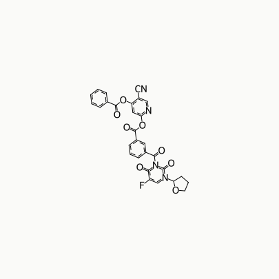 N#Cc1cnc(OC(=O)c2cccc(C(=O)n3c(=O)c(F)cn(C4CCCO4)c3=O)c2)cc1OC(=O)c1ccccc1